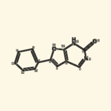 O=c1ncc2cc(-c3ccccc3)oc2[nH]1